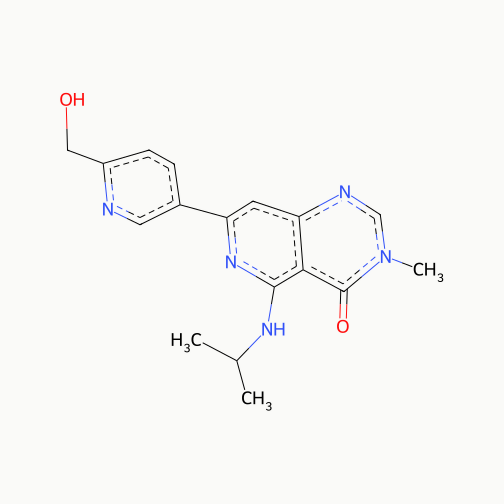 CC(C)Nc1nc(-c2ccc(CO)nc2)cc2ncn(C)c(=O)c12